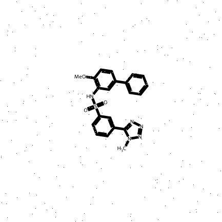 COc1ccc(-c2ccccc2)cc1NS(=O)(=O)c1cccc(-c2nnnn2C)c1